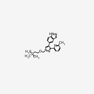 Cc1cccc(-c2nn(COCC[Si](C)(C)C)cc2-c2ccc3[nH]ncc3c2)n1